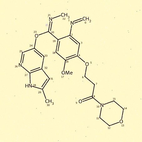 C=Nc1cc(OCCC(=O)N2CCOCC2)c(OC)cc1/C(=N\C)Oc1cnc2[nH]c(C)cc2c1